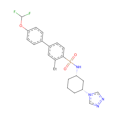 CCc1cc(-c2ccc(OC(F)F)cc2)ccc1S(=O)(=O)N[C@H]1CCC[C@@H](n2cnnc2)C1